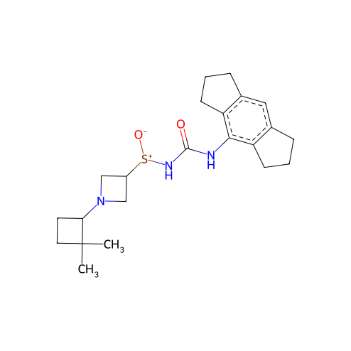 CC1(C)CCC1N1CC([S+]([O-])NC(=O)Nc2c3c(cc4c2CCC4)CCC3)C1